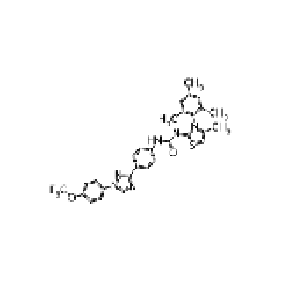 Cc1cc(C)c(-n2c(C)cs/c2=N\C(=O)Nc2ccc(-c3ncn(-c4ccc(OC(F)(F)F)cc4)n3)cc2)c(C)c1